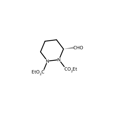 CCOC(=O)N1CCC[C@H](C=O)N1C(=O)OCC